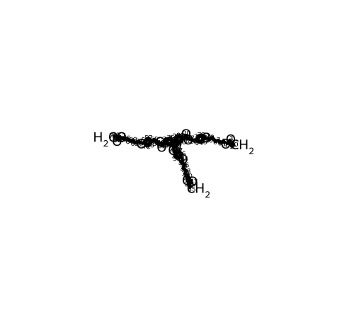 C=CC(=O)OCCCCCCOc1ccc(CCOC(=O)c2ccc3c(c2)nc(Oc2ccc(OCCCCCCOC(=O)C=C)cc2)c2cc(C(=O)OCCc4ccc(OCCCCCCOC(=O)C=C)cc4)ccc23)cc1